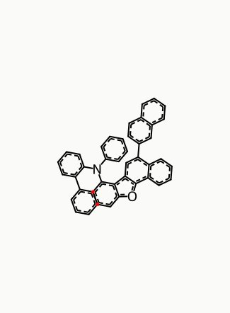 c1ccc(-c2ccccc2N(c2ccccc2)c2cccc3oc4c5ccccc5c(-c5ccc6ccccc6c5)cc4c23)cc1